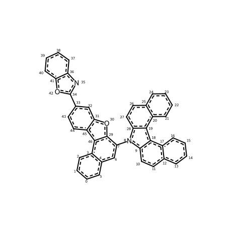 c1ccc2c(c1)cc(-n1c3ccc4ccccc4c3c3c4ccccc4ccc31)c1oc3cc(-c4nc5ccccc5o4)ccc3c12